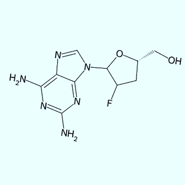 Nc1nc(N)c2ncn(C3O[C@H](CO)CC3F)c2n1